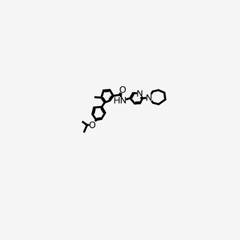 Cc1ccc(C(=O)Nc2ccc(N3CCCCCC3)nc2)cc1-c1ccc(OC(C)C)cc1